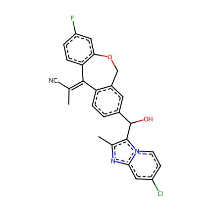 C/C(C#N)=C1\c2ccc(C(O)c3c(C)nc4cc(Cl)ccn34)cc2COc2cc(F)ccc21